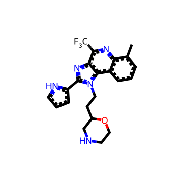 Cc1cccc2c1nc(C(F)(F)F)c1nc(-c3ccc[nH]3)n(CCC3CNCCO3)c12